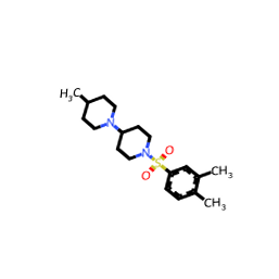 Cc1ccc(S(=O)(=O)N2CCC(N3CCC(C)CC3)CC2)cc1C